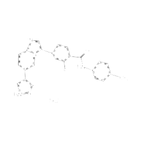 Cl.O=C(Nc1ccc(C(F)(F)F)cc1)c1ccc(-c2cnc3ccc(-c4cn[nH]c4)cn23)cc1F